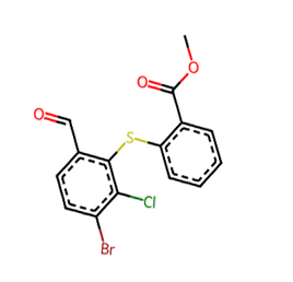 COC(=O)c1ccccc1Sc1c(C=O)ccc(Br)c1Cl